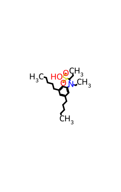 CCCCCc1cc(CCCCC)cc(N(CC)C(CC)S(=O)(=O)O)c1